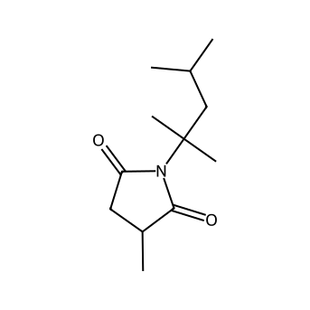 CC(C)CC(C)(C)N1C(=O)CC(C)C1=O